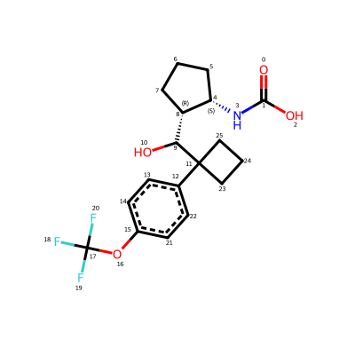 O=C(O)N[C@H]1CCC[C@H]1C(O)C1(c2ccc(OC(F)(F)F)cc2)CCC1